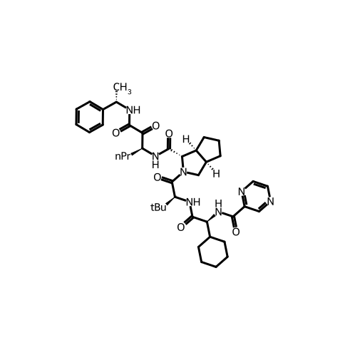 CCC[C@H](NC(=O)[C@@H]1[C@H]2CCC[C@H]2CN1C(=O)[C@@H](NC(=O)[C@@H](NC(=O)c1cnccn1)C1CCCCC1)C(C)(C)C)C(=O)C(=O)N[C@@H](C)c1ccccc1